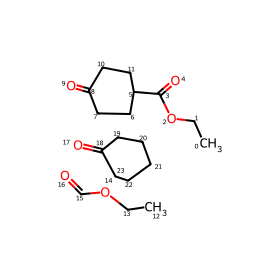 CCOC(=O)C1CCC(=O)CC1.CCOC=O.O=C1CCCCC1